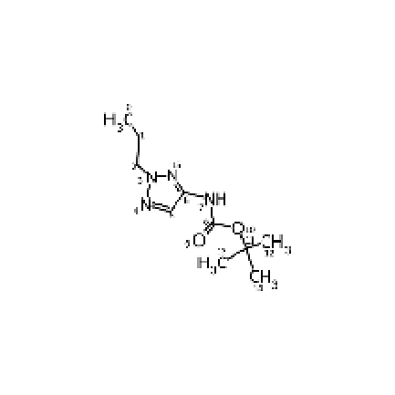 CCCn1ncc(NC(=O)OC(C)(C)C)n1